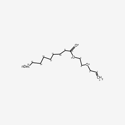 C=CCOCCOC(=O)CCCCCCCCCCCCCCCCC